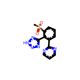 CS(=O)(=O)c1cccc(-c2ncccn2)c1-c1nn[nH]n1